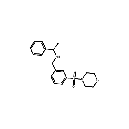 C[C@@H](NCc1cccc(S(=O)(=O)N2CCOCC2)c1)c1ccccc1